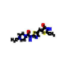 C=c1[nH]c(=O)/c(=C/c2cnc(NC(=O)N3CCN(C)CC3)s2)s1